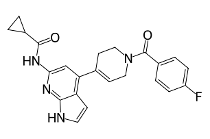 O=C(Nc1cc(C2=CCN(C(=O)c3ccc(F)cc3)CC2)c2cc[nH]c2n1)C1CC1